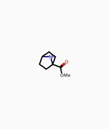 COC(=O)C12CCC(CC1)N2